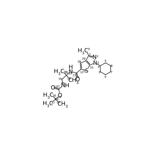 Cc1nn(C2CCCCC2)c2sc(C(=O)NC(C)(C)CNC(=O)OC(C)(C)C)cc12